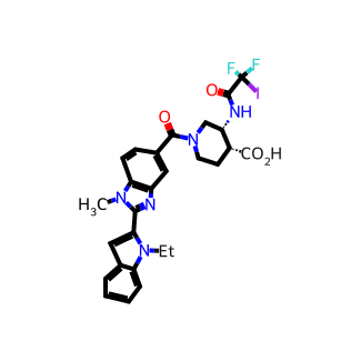 CCn1c(-c2nc3cc(C(=O)N4CC[C@@H](C(=O)O)[C@@H](NC(=O)C(F)(F)I)C4)ccc3n2C)cc2ccccc21